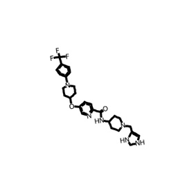 O=C(NC1CCN(CC2=CNCN2)CC1)c1ccc(OC2CCN(c3ccc(C(F)(F)F)cc3)CC2)cn1